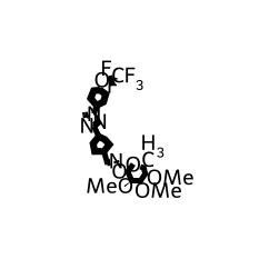 CO[C@H]1[C@H](OC)[C@H](O/N=C/c2ccc(-c3ncn(-c4ccc(OC(F)(F)C(F)(F)F)cc4)n3)cc2)O[C@@H](C)[C@H]1OC